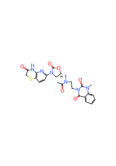 CC(=O)N(CCn1c(=O)c2ccccc2n(C)c1=O)C[C@@H]1CN(c2ccc3c(n2)NC(=O)CS3)C(=O)O1